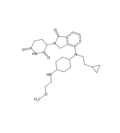 COCCNC1CCC(N(CCC2CC2)c2cccc3c2CN(C2CCC(=O)NC2=O)C3=O)CC1